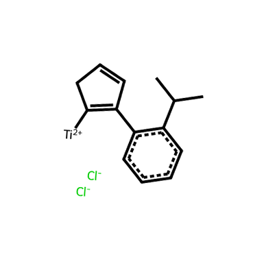 CC(C)c1ccccc1C1=[C]([Ti+2])CC=C1.[Cl-].[Cl-]